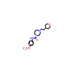 O=C(Nc1ccc(OC(F)(F)F)cc1)N1CCCN(CCC2CCOCC2)CC1